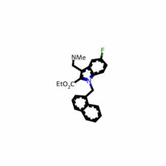 CCOC(=O)c1c(CNC)c2cc(F)ccc2n1Cc1cccc2ccccc12